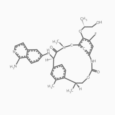 Cc1cc2ccc1[C@@H](C)COC(=O)Nc1cc(F)c(O[C@H](C)CO)c(c1)CN(C)C(=O)[C@@H]2Nc1ccc2c(N)nccc2c1